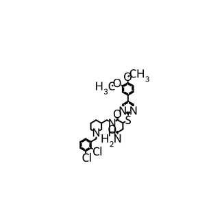 COc1ccc(-c2cnc(SC(CC(N)=O)C(=O)NCC3CCCN(Cc4cccc(Cl)c4Cl)C3)nc2)cc1OC